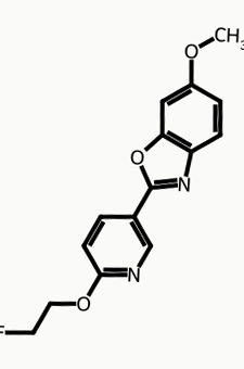 COc1ccc2nc(-c3ccc(OCCF)nc3)oc2c1